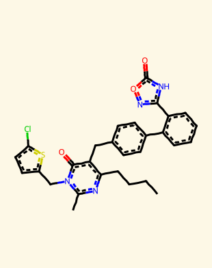 CCCCc1nc(C)n(Cc2ccc(Cl)s2)c(=O)c1Cc1ccc(-c2ccccc2-c2noc(=O)[nH]2)cc1